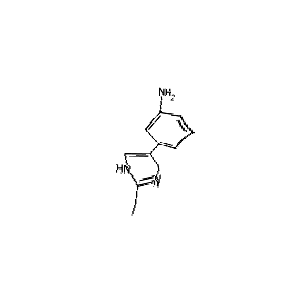 Cc1nc(-c2cccc(N)c2)c[nH]1